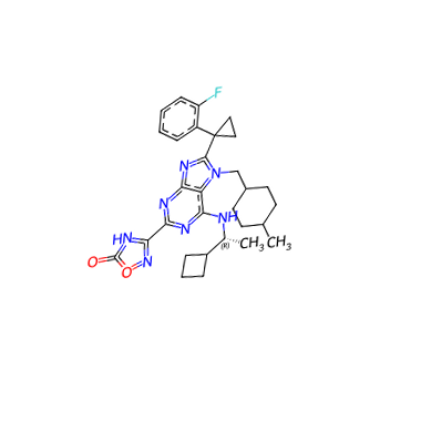 CC1CCC(Cn2c(C3(c4ccccc4F)CC3)nc3nc(-c4noc(=O)[nH]4)nc(N[C@H](C)C4CCC4)c32)CC1